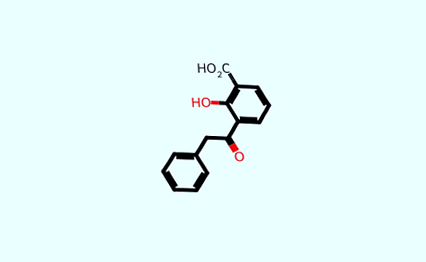 O=C(O)c1cccc(C(=O)Cc2ccccc2)c1O